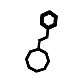 c1ccc(CSC2CCCCCCC2)cc1